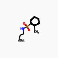 CCCCCCCCCCNS(=O)(=O)c1ccccc1C